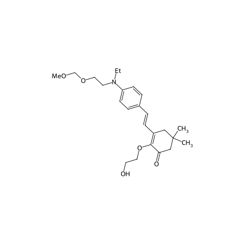 CCN(CCOCOC)c1ccc(/C=C/C2=C(OCCO)C(=O)CC(C)(C)C2)cc1